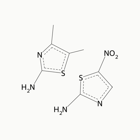 Cc1nc(N)sc1C.Nc1ncc([N+](=O)[O-])s1